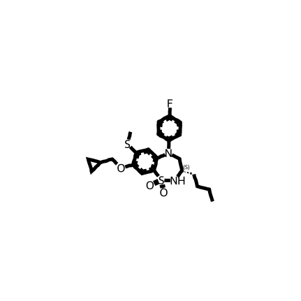 CCCC[C@H]1CN(c2ccc(F)cc2)c2cc(SC)c(OCC3CC3)cc2S(=O)(=O)N1